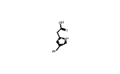 O=C(O)Cc1cc(Br)c[nH]1